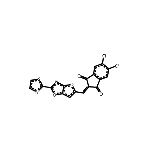 O=C1C(=Cc2cc3oc(-c4nccs4)nc3o2)C(=O)c2cc(Cl)c(Cl)cc21